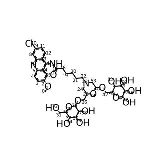 COc1ccc2nc3cc(Cl)ccc3c(NC(=O)CCCCCN3CC(COC4OC(CO)C(O)C(O)C4O)OC(OCC4OC(O)C(O)C(O)C4O)C3)c2c1